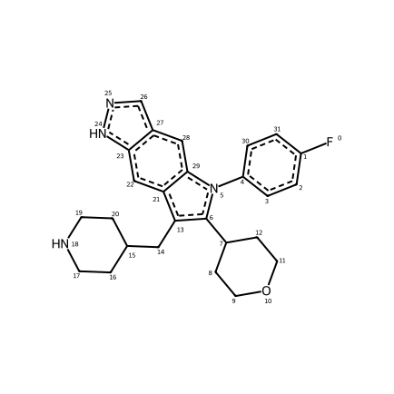 Fc1ccc(-n2c(C3CCOCC3)c(CC3CCNCC3)c3cc4[nH]ncc4cc32)cc1